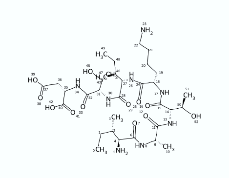 CC[C@H](C)[C@H](N)C(=O)N[C@@H](C)C(=O)N[C@H](C(=O)N[C@@H](CCCCN)C(=O)N[C@H](C(=O)N[C@H](C(=O)N[C@@H](CC(=O)O)C(=O)O)[C@@H](C)O)[C@@H](C)CC)[C@@H](C)O